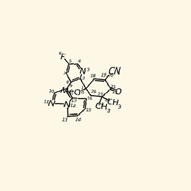 COC1(c2ncc(F)cc2-c2cnn3ccccc23)C=C(C#N)C(=O)C(C)(C)C1